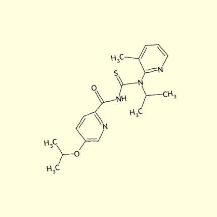 Cc1cccnc1N(C(=S)NC(=O)c1ccc(OC(C)C)cn1)C(C)C